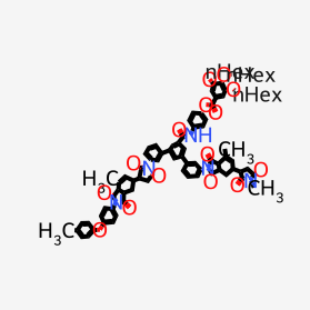 CCCCCCOc1cc(C(=O)Oc2ccc(NC(=O)c3cc(-c4cccc(N5C(=O)CC(C6C=C(C)C7C(=O)N(c8ccc(Oc9ccc(C)cc9)cc8)C(=O)C7C6)C5=O)c4)cc(-c4cccc(N5C(=O)C6CC(C7CC(=O)N(C)C7=O)C=C(C)C6C5=O)c4)c3)cc2)cc(OCCCCCC)c1OCCCCCC